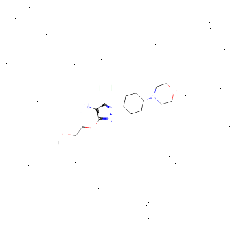 CCOCCOc1nn([C@H]2CC[C@H](N3CCOCC3)CC2)cc1N.Cl